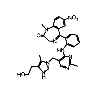 CC1=C(CCO)NCN1Cc1cnc(C)nc1Nc1ccccc1C1=NCC(=O)N(C)c2ccc([N+](=O)[O-])cc21